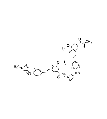 CNC(=O)c1cc(CCc2cnc(Nc3cnn(CNC(=O)c4cc(CCc5ccc(Nc6cnn(C)c6)nc5)c(F)c(OC)c4)c3)nc2)c(F)c(OC)c1